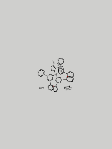 CC(C)(C)C1=[C]([Ti])CC=C1[Si](c1cc(-c2ccccc2)cc(-c2ccccc2)c1)(c1cc(-c2ccccc2)cc(-c2ccccc2)c1)c1cc(-c2ccccc2)cc(-c2ccccc2)c1.Cl.Cl.Cl